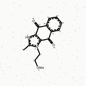 COCC[n+]1c(C)[nH]c2c1C(=O)c1ccccc1C2=O